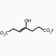 O=C(O)CC=C(O)CCC(=O)O